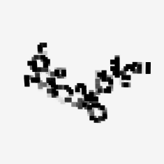 O=C(CO)Nc1ccc(-n2c(=O)n(C[C@H]3CC[C@H](NC(=O)c4cc(Cl)cnc4C(F)F)CC3)c3ccccc32)cn1